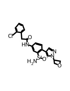 N[S+]([O-])c1cc(NC(=O)Cc2ccccc2Cl)ccc1-c1cnn(C2COC2)c1